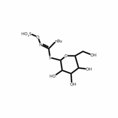 CCCC/C(=N\OS(=O)(=O)O)SC1OC(CO)C(O)C(O)C1O